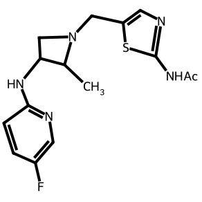 CC(=O)Nc1ncc(CN2CC(Nc3ccc(F)cn3)C2C)s1